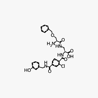 N[C@@H](COCc1ccccc1)C(=O)NC[C@H](NC(=O)c1ccc(C(=O)NCc2cccc(O)c2)cc1Cl)C(=O)O